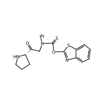 CC(C)N(CC(=O)[C@@H]1CCCN1)C(=S)Oc1nc2ccccc2s1